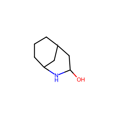 OC1C[C]2CCCC(C2)N1